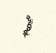 CCN(Cc1ccncc1)C(=O)C/C1=C/Cc2cc(-c3ccc4nc(C)[nH]c4c3)ccc2OCC1